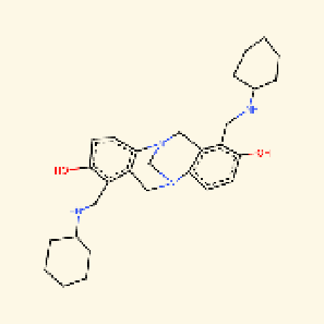 Oc1ccc2c(c1CNC1CCCCC1)CN1CN2Cc2c1ccc(O)c2CNC1CCCCC1